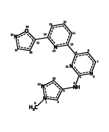 Cn1cc(Nc2nccc(-c3cccc(-c4ccno4)n3)n2)cn1